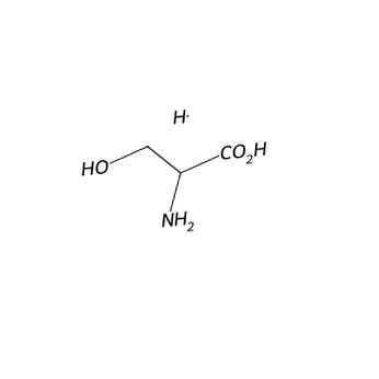 NC(CO)C(=O)O.[H]